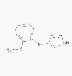 COc1ccccc1Sc1cc[nH]n1